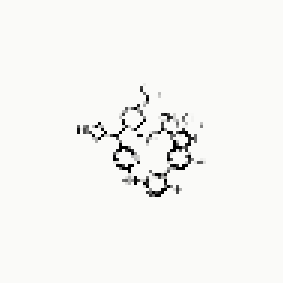 CCN1CCC(C(c2ccc(Nc3ncc(F)c(-c4cc(F)c5nc(C)n(C(C)C)c5c4)n3)nc2)C2CNC2)CC1